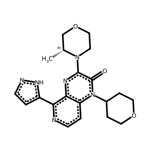 C[C@@H]1COCCN1c1nc2c(-c3ccn[nH]3)nccc2n(C2CCOCC2)c1=O